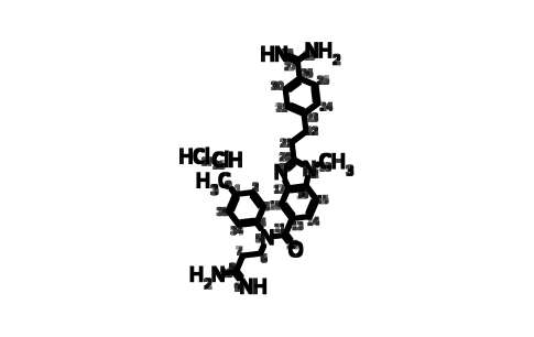 Cc1ccc(N(CCC(=N)N)C(=O)c2ccc3c(c2)nc(CCc2ccc(C(=N)N)cc2)n3C)cc1.Cl.Cl